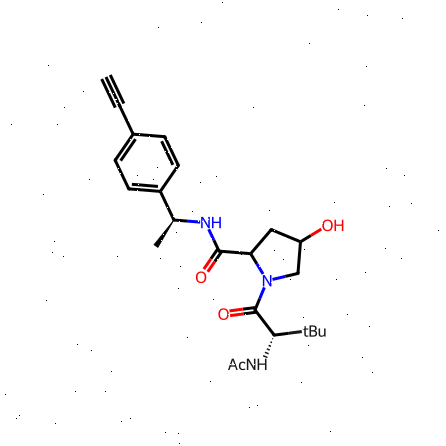 C#Cc1ccc([C@H](C)NC(=O)C2CC(O)CN2C(=O)[C@@H](NC(C)=O)C(C)(C)C)cc1